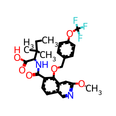 CCC(C)(C)C(NC(=O)c1ccc2cnc(OC)cc2c1OCc1ccc(OC(F)(F)F)cc1)C(=O)O